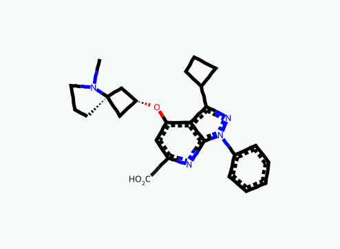 CN1CCC[C@]12C[C@@H](Oc1cc(C(=O)O)nc3c1c(C1CCC1)nn3-c1ccccc1)C2